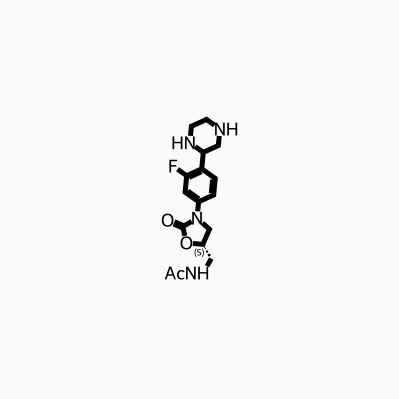 CC(=O)NC[C@H]1CN(c2ccc(C3CNCCN3)c(F)c2)C(=O)O1